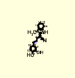 C[n+]1c(/C(C#N)=C/C=C/c2ccc(O)c(O)c2)[nH]c2ccccc21